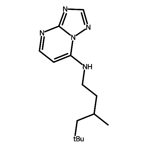 CC(CCNc1ccnc2ncnn12)CC(C)(C)C